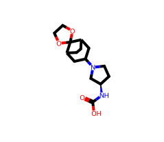 O=C(O)N[C@@H]1CCN(C2CC3CCC(C2)C32OCCO2)C1